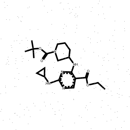 CCOC(=O)c1cnc(NC2CC2)nc1NC1CCCN(C(=O)OC(C)(C)C)C1